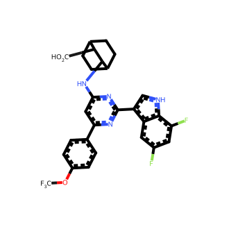 O=C(O)C1C2CCC(CC2)C1Nc1cc(-c2ccc(OC(F)(F)F)cc2)nc(-c2c[nH]c3c(F)cc(F)cc23)n1